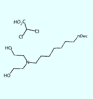 CCCCCCCCCCCCCCCCCN(CCO)CCO.O=C(O)C(Cl)Cl